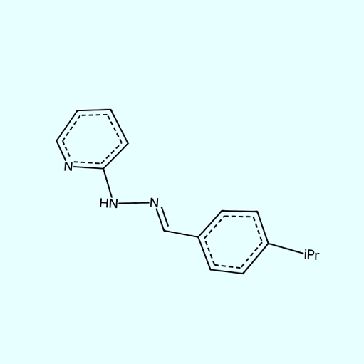 CC(C)c1ccc(C=NNc2ccccn2)cc1